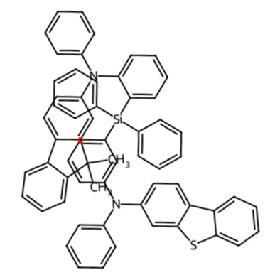 CC1(C)c2ccccc2-c2ccc(N(c3ccccc3)c3ccccc3[Si](c3ccccc3)(c3ccccc3)c3cccc(N(c4ccccc4)c4ccc5c(c4)sc4ccccc45)c3)cc21